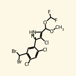 COC(OC(F)F)c1[nH]nc(-c2cc(C(Br)Br)c(Cl)cc2Cl)c1Cl